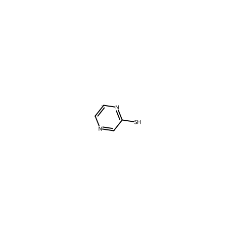 Sc1cnc[c]n1